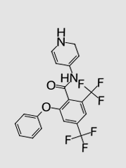 O=C(NC1=CCNC=C1)c1c(Oc2ccccc2)cc(C(F)(F)F)cc1C(F)(F)F